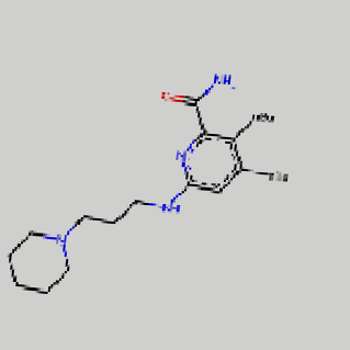 CCCCc1cc(NCCCN2CCCCC2)nc(C(N)=O)c1CCCC